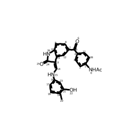 CC(=O)Nc1ccc(C(=O)c2ccc3c(c2)C(=CNc2ccc(C)c(O)c2)C(=O)N3)cc1